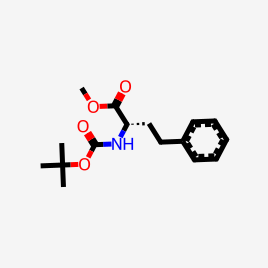 COC(=O)[C@H](CCc1ccccc1)NC(=O)OC(C)(C)C